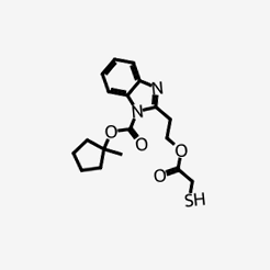 CC1(OC(=O)n2c(CCOC(=O)CS)nc3ccccc32)CCCC1